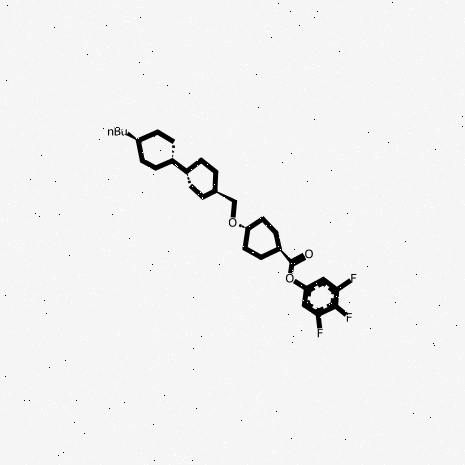 CCCC[C@H]1CC[C@H]([C@H]2CC[C@H](CO[C@H]3CC[C@H](C(=O)Oc4cc(F)c(F)c(F)c4)CC3)CC2)CC1